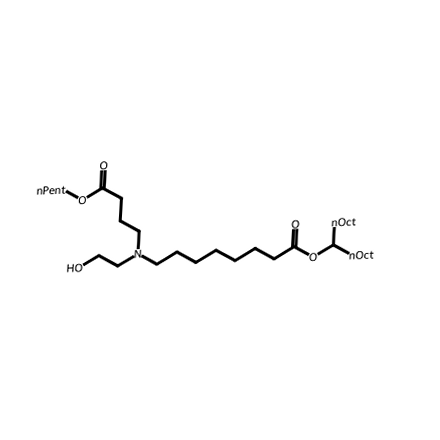 CCCCCCCCC(CCCCCCCC)OC(=O)CCCCCCCN(CCO)CCCC(=O)OCCCCC